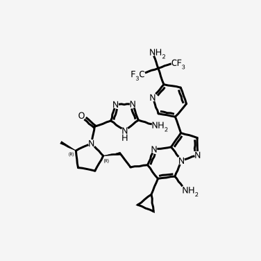 C[C@@H]1CC[C@H](CCc2nc3c(-c4ccc(C(N)(C(F)(F)F)C(F)(F)F)nc4)cnn3c(N)c2C2CC2)N1C(=O)c1nnc(N)[nH]1